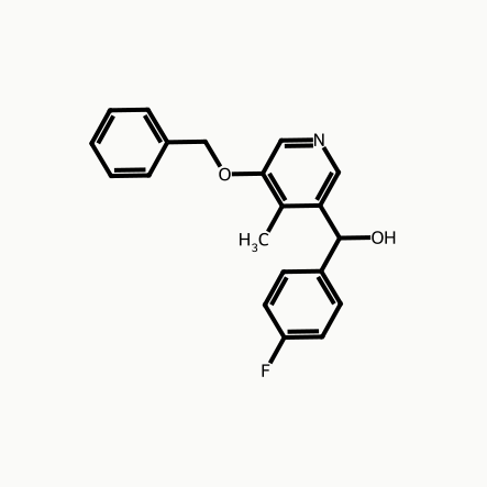 Cc1c(OCc2ccccc2)cncc1C(O)c1ccc(F)cc1